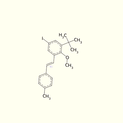 COc1c(/C=C/c2ccc(C)cc2)cc(I)cc1C(C)(C)C